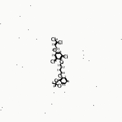 CC1(C)Oc2cccc(OCCCCOc3c(Cl)cc(OCC=C(Cl)Cl)cc3Cl)c2O1